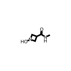 CNC(=O)C1CN(O)C1